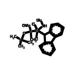 CO[Si](C)(O[Si](C)(C)C)[Zr]([Cl])([Cl])([NH]C(C)(C)C)[CH]1c2ccccc2-c2ccccc21